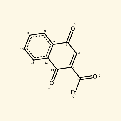 CCC(=O)C1=CC(=O)c2ccccc2C1=O